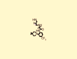 CC(C)(N/C=C(/I)C=N)C(=O)Nc1ccc(C(F)(F)F)cc1N1CCC2(CC1)CC2